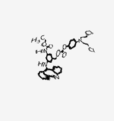 CCOC(=O)Nc1cc(COC(=O)Oc2ccc(N(CCCl)CCCl)cc2)cc(Nc2c3ccccc3nc3ccccc23)c1